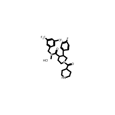 CN(Cc1cc(C(F)(F)F)cc(C(F)(F)F)c1)C(=O)C1CCN(C(=O)C2CCNCC2)CC1c1ccc(F)cc1.Cl